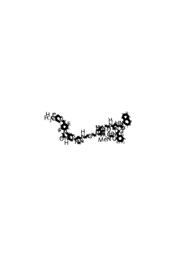 CN[C@@H](C)C(=O)N[C@H](C(=O)N1CC(NC(=O)CN2C[C@H]3CN(CCOCCNc4cc(N5CCC6(CC5)CN(c5cc(F)c(CN7CCC(C)(C)CC7)cc5F)CC(=O)N6)ncn4)C[C@H]3C2)C[C@H]1C(=O)N[C@H]1CCCc2ccccc21)C1CCCCC1